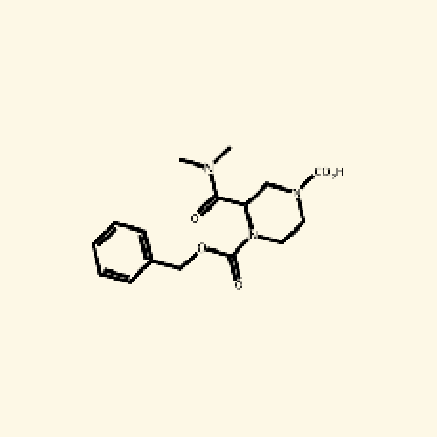 CN(C)C(=O)C1CN(C(=O)O)CCN1C(=O)OCc1ccccc1